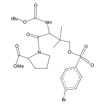 COC(=O)C1CCCN1C(=O)C(NC(=O)OC(C)(C)C)C(C)(C)COS(=O)(=O)c1ccc(Br)cc1